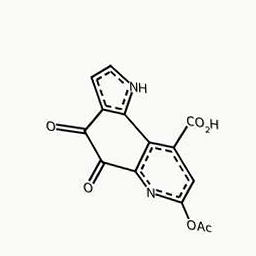 CC(=O)Oc1cc(C(=O)O)c2c(n1)C(=O)C(=O)c1cc[nH]c1-2